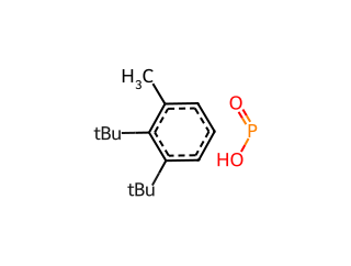 Cc1cccc(C(C)(C)C)c1C(C)(C)C.O=PO